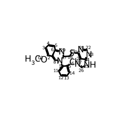 COc1cccc2c1=CN(c1ccccc1Cl)C(CSc1ncnc3[nH]cnc13)N=2